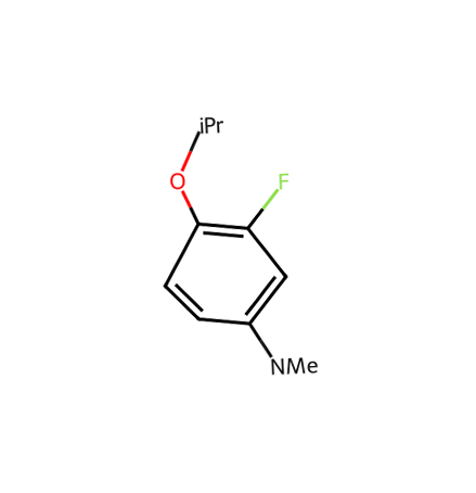 CNc1ccc(OC(C)C)c(F)c1